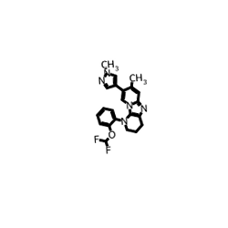 Cc1cc2nc3c(n2cc1-c1cnn(C)c1)N(c1ccccc1OC(F)F)CCC3